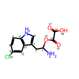 NC(Cc1c[nH]c2ccc(Cl)cc12)OC(=O)C(=O)O